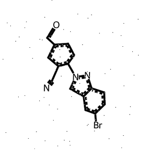 N#Cc1cc(C=O)ccc1-n1cc2cc(Br)ccc2n1